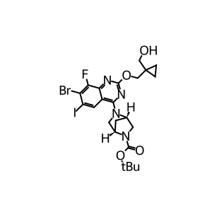 CC(C)(C)OC(=O)N1C[C@@H]2C[C@H]1CN2c1nc(OCC2(CO)CC2)nc2c(F)c(Br)c(I)cc12